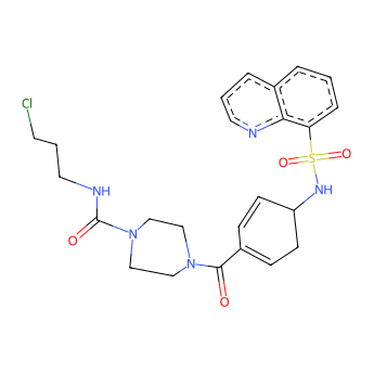 O=C(NCCCCl)N1CCN(C(=O)C2=CCC(NS(=O)(=O)c3cccc4cccnc34)C=C2)CC1